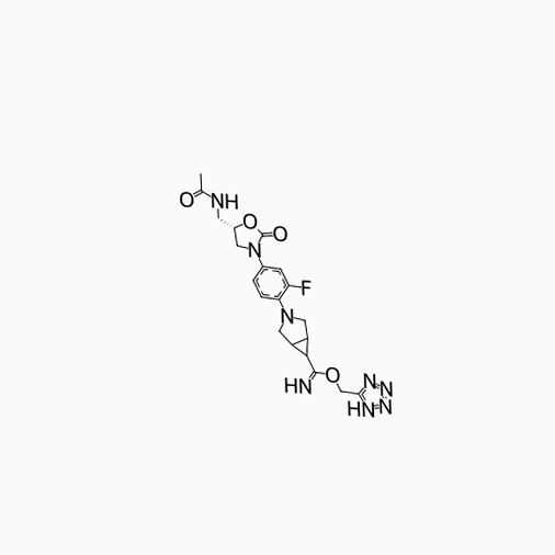 CC(=O)NC[C@H]1CN(c2ccc(N3CC4C(C3)C4C(=N)OCc3nnn[nH]3)c(F)c2)C(=O)O1